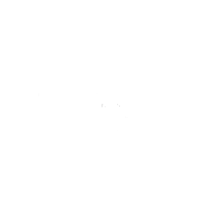 CCc1cccc(C(=O)NNC(=O)c2ccc(I)cc2)c1